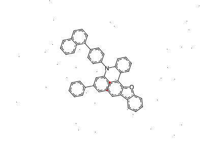 c1ccc(-c2cccc(N(c3ccc(-c4cccc5ccccc45)cc3)c3ccccc3-c3cccc4c3oc3ccccc34)c2)cc1